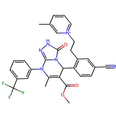 COC(=O)C1=C(C)N(c2cccc(C(F)(F)F)c2)c2n[nH]c(=O)n2C1c1ccc(C#N)cc1CC[n+]1cccc(C)c1